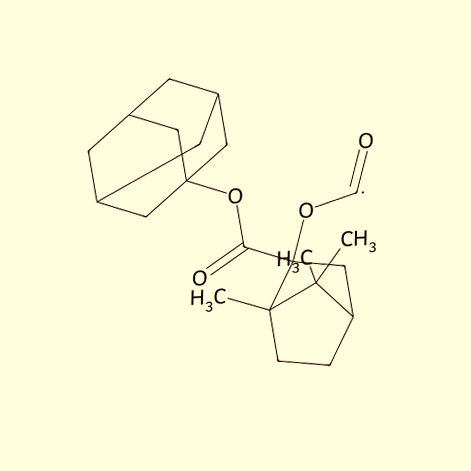 CC1(C)C2CCC1(C)C(O[C]=O)(C(=O)OC13CC4CC(CC(C4)C1)C3)C2